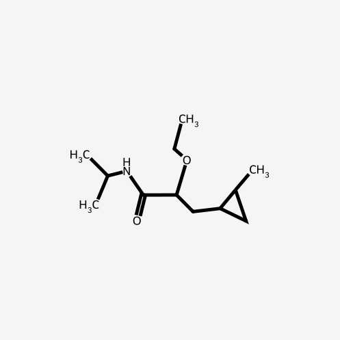 CCOC(CC1CC1C)C(=O)NC(C)C